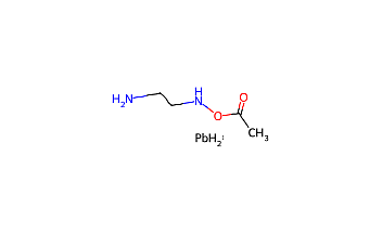 CC(=O)ONCCN.[PbH2]